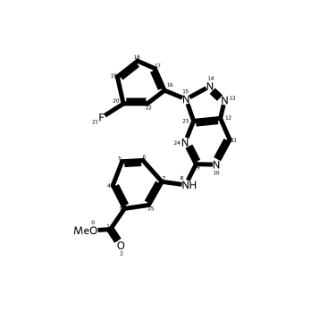 COC(=O)c1cccc(Nc2ncc3nnn(-c4cccc(F)c4)c3n2)c1